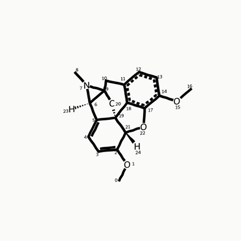 COC1=CC=C2[C@H]3N(C)C34Cc3ccc(OC)c5c3[C@@]2(C4)[C@@H]1O5